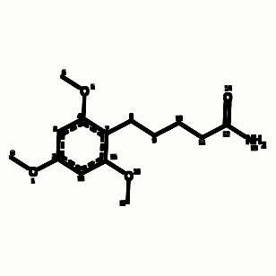 COc1cc(OC)c(CCCCC(N)=O)c(OC)c1